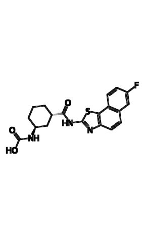 O=C(O)N[C@H]1CCC[C@H](C(=O)Nc2nc3ccc4cc(F)ccc4c3s2)C1